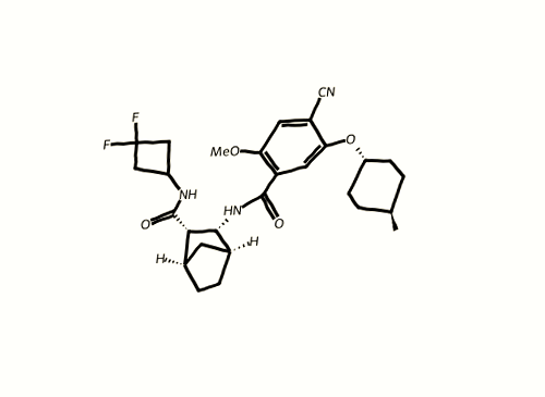 COc1cc(C#N)c(O[C@H]2CC[C@H](C)CC2)cc1C(=O)N[C@@H]1[C@H]2CC[C@H](C2)[C@@H]1C(=O)NC1CC(F)(F)C1